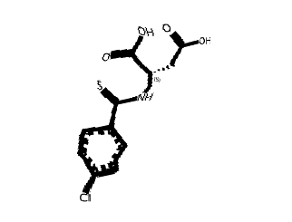 O=C(O)C[C@H](NC(=S)c1ccc(Cl)cc1)C(=O)O